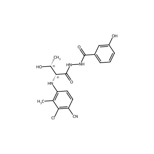 Cc1c(N[C@@H](C(=O)NNC(=O)c2cccc(O)c2)[C@@H](C)O)ccc(C#N)c1Cl